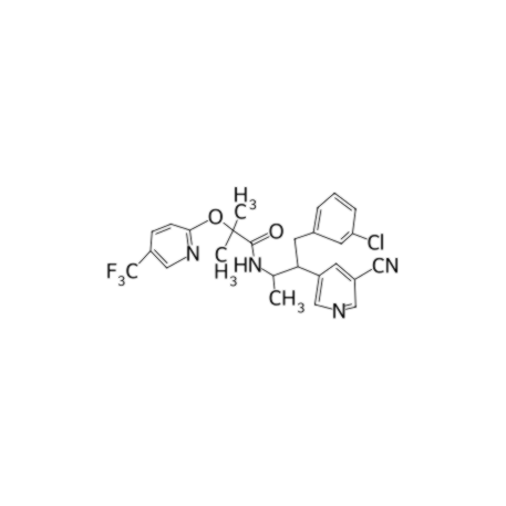 CC(NC(=O)C(C)(C)Oc1ccc(C(F)(F)F)cn1)C(Cc1cccc(Cl)c1)c1cncc(C#N)c1